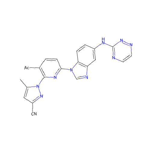 CC(=O)c1ccc(-n2cnc3cc(Nc4nccnn4)ccc32)nc1-n1nc(C#N)cc1C